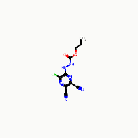 CCCOC(=O)NNc1nc(C#N)c(C#N)nc1Cl